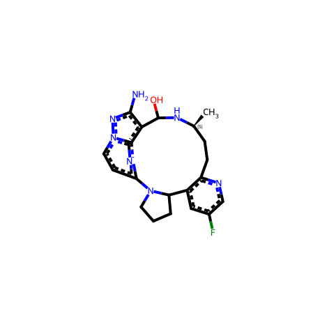 C[C@H]1CCc2ncc(F)cc2C2CCCN2c2ccn3nc(N)c(c3n2)C(O)N1